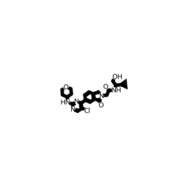 O=C(CN1Cc2ccc(-c3nc(NC4CCOCC4)ncc3Cl)cc2C1=O)NC(CO)C1CC1